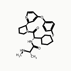 CN[C@@H](C)C(=O)N[C@H](C(=O)N1CCC[C@H]1c1cc(Oc2ccc(F)cc2)ccn1)C1CCCCC1